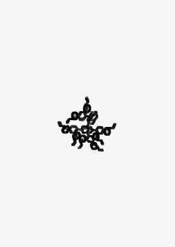 C=CCOc1ccc(C23CC4CC(C2)CC(C25CC6(c7ccc(OCC=C)cc7OCC=C)CC(c7ccc(OCC=C)cc7OCC=C)(CC(c7ccc(OCC=C)cc7OCC=C)(C6)C2)C5)(C4)C3)c(OCC=C)c1